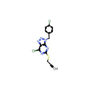 C#CCSc1nc(Cl)c2nnn(Cc3ccc(Cl)cc3)c2n1